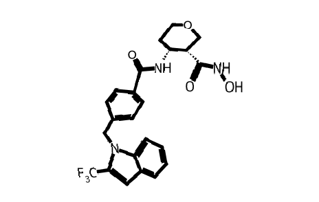 O=C(N[C@@H]1CCOC[C@@H]1C(=O)NO)c1ccc(Cn2c(C(F)(F)F)cc3ccccc32)cc1